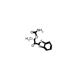 C[C@H](OC(N)=O)C(=O)c1nc2ccccc2s1